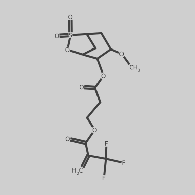 C=C(C(=O)OCCC(=O)OC1C(OC)CC2CC1OS2(=O)=O)C(F)(F)F